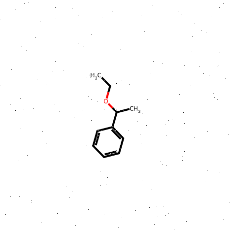 [CH2]COC(C)c1ccccc1